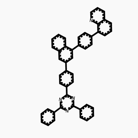 c1ccc(-c2nc(-c3ccccc3)nc(-c3ccc(-c4cc(-c5ccc(-c6cccc7cccnc67)cc5)c5ccccc5c4)cc3)n2)cc1